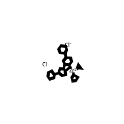 C1=CC[C]([Zr+2](=[C]2CC2)[CH]2c3ccc(-c4ccccc4)cc3-c3cc(-c4ccccc4)ccc32)=C1.[Cl-].[Cl-]